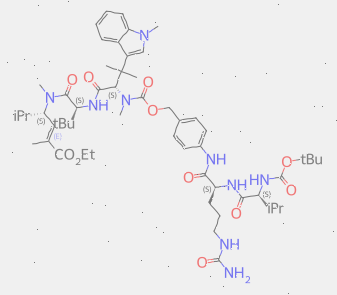 CCOC(=O)/C(C)=C/[C@H](C(C)C)N(C)C(=O)[C@@H](NC(=O)[C@@H](N(C)C(=O)OCc1ccc(NC(=O)[C@H](CCCNC(N)=O)NC(=O)[C@@H](NC(=O)OC(C)(C)C)C(C)C)cc1)C(C)(C)c1cn(C)c2ccccc12)C(C)(C)C